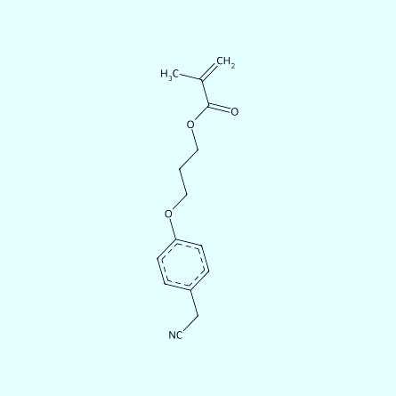 C=C(C)C(=O)OCCCOc1ccc(CC#N)cc1